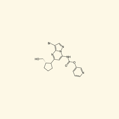 O=C(Nc1cc(C2CCC[C@@H]2CO)nc2c(Br)cnn12)Oc1cccnc1